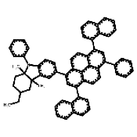 CCC1CCC2(C)N(c3ccccc3)c3ccc(-c4cc(-c5cccc6ccccc56)c5ccc6c(-c7ccccc7)cc(-c7cccc8ccccc78)c7ccc4c5c67)cc3C2(C)C1